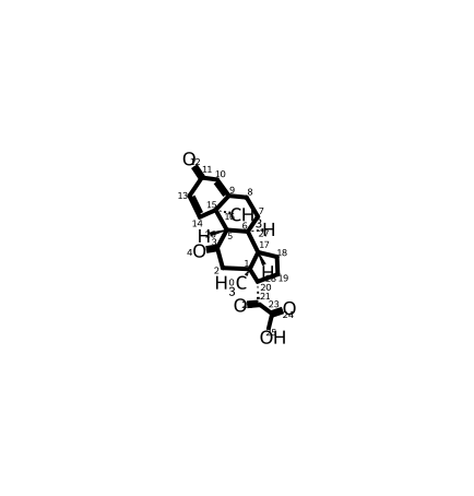 C[C@]12CC(=O)[C@H]3[C@@H](CCC4=CC(=O)C=C[C@@]43C)[C@@H]1CC[C@@H]2C(=O)C(=O)O